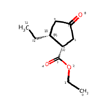 CCOC(=O)[C@H]1CC(=O)C[C@H]1CC